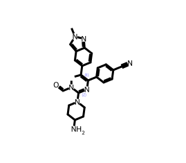 C/C(=C(\N=C(/N(C)C=O)N1CCC(N)CC1)c1ccc(C#N)cc1)c1ccc2nn(C)cc2c1